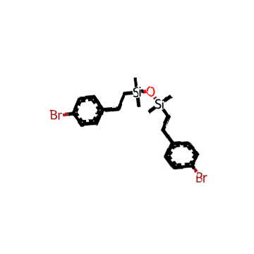 C[Si](C)(CCc1ccc(Br)cc1)O[Si](C)(C)CCc1ccc(Br)cc1